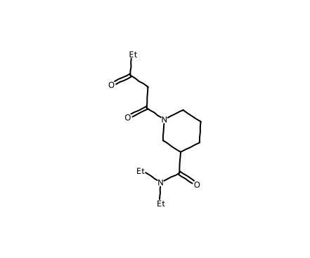 CCC(=O)CC(=O)N1CCCC(C(=O)N(CC)CC)C1